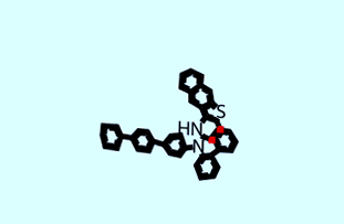 C1=CC(N(c2ccc(-c3ccc(-c4ccccc4)cc3)cc2)c2ccccc2-c2ccccc2)Nc2c1sc1cc3ccccc3cc21